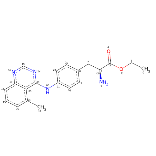 CCOC(=O)[C@@H](N)Cc1ccc(Nc2ncnc3cccc(C)c23)cc1